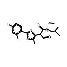 CC[C@H](CC(C)C)C(=O)C(C=O)c1nc(-c2ccc(F)cc2F)sc1C